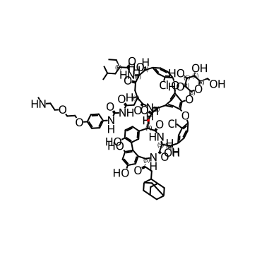 CC[C@H](CC(C)C)C(=O)N[C@H]1C(=O)C[C@@H](CC(=O)NC(=O)Nc2ccc(OCCOCCNC)cc2)C(=O)N[C@H]2C(=O)C[C@H]3C(=O)N[C@H](C(=O)N[C@H](C(=O)CC4C5CC6CC(C5)CC4C6)c4cc(O)cc(O)c4-c4cc3ccc4O)[C@H](O)c3ccc(c(Cl)c3)Oc3cc2cc(c3O[C@@H]2O[C@H](CO)[C@@H](O)[C@H](O)[C@H]2O)Oc2ccc(cc2Cl)[C@H]1O